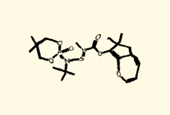 CN(SN(C(C)(C)C)P1(=O)OCC(C)(C)CO1)C(=O)OC1=C2OC=CC=C2CC1(C)C